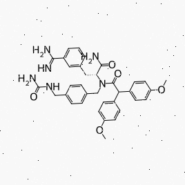 COc1ccc(C(C(=O)N(Cc2ccc(CNC(N)=O)cc2)[C@H](Cc2cccc(C(=N)N)c2)C(N)=O)c2ccc(OC)cc2)cc1